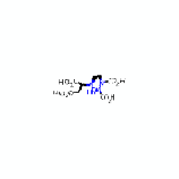 O=C(O)CC(C(=O)O)n1ccn(C(=O)O)n(C(=O)O)[nH]1